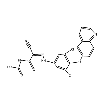 N#C/C(=N/Nc1cc(Cl)c(Oc2ccc3ncccc3c2)c(Cl)c1)C(=O)NC(=O)O